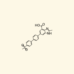 Cc1nc2c(C(=O)O)cc(-c3ccc(-c4ccc(S(C)(=O)=O)cc4)cc3)cc2[nH]1